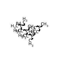 CCP(CC)CC.CCP(CC)CC.CCP(CC)CC.CCP(CC)CC.[Pd]